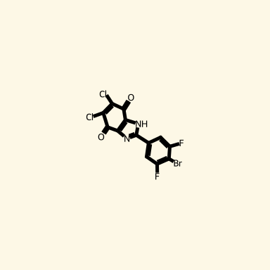 O=C1C(Cl)=C(Cl)C(=O)c2[nH]c(-c3cc(F)c(Br)c(F)c3)nc21